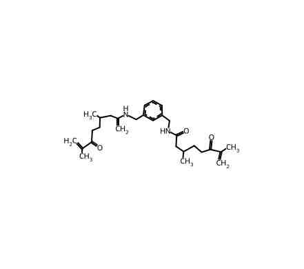 C=C(CC(C)CCC(=O)C(=C)C)NCc1cccc(CNC(=O)CC(C)CCC(=O)C(=C)C)c1